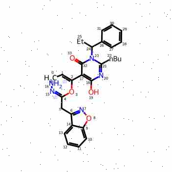 C/C=C(\O/C(Cc1noc2ccccc12)=N\N)c1c(O)nc(CCCC)n(C(CC)c2ccccc2)c1=O